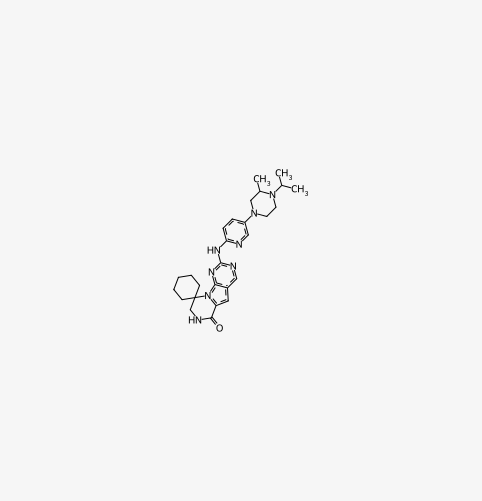 CC(C)N1CCN(c2ccc(Nc3ncc4cc5n(c4n3)C3(CCCCC3)CNC5=O)nc2)CC1C